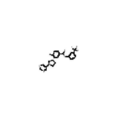 Cc1ccc(C(=O)Nc2cccc(C(F)(F)F)c2)cc1[C@@H]1CCN(c2cncnc2)C1